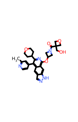 Cc1cc(-c2c(C3CCOCC3)nc(OC3CN(C(=O)C4(CO)COC4)C3)c3cc4[nH]ncc4cc23)ccn1